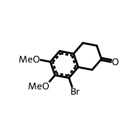 COc1cc2c(c(Br)c1OC)CC(=O)CC2